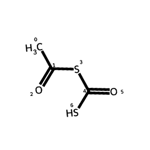 CC(=O)SC(=O)S